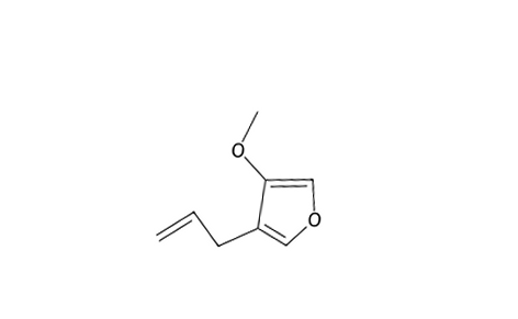 C=CCc1cocc1OC